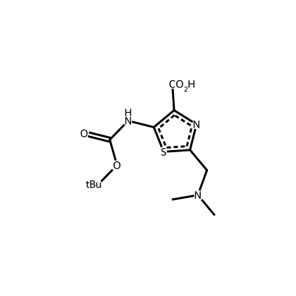 CN(C)Cc1nc(C(=O)O)c(NC(=O)OC(C)(C)C)s1